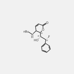 CCCCNC1C=CC(=O)O[C@H]1[C@@H](O)[C@H](F)c1ccccc1